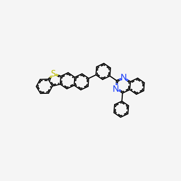 c1ccc(-c2nc(-c3cccc(-c4ccc5cc6c(cc5c4)sc4ccccc46)c3)nc3ccccc23)cc1